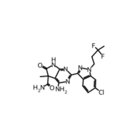 CC(F)(F)CCn1nc(-c2nc(N)c3c(n2)NC(=O)C3(C)C(N)=O)c2ccc(Cl)cc21